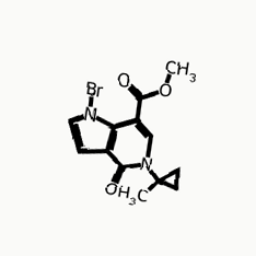 COC(=O)c1cn(C2(C)CC2)c(=O)c2ccn(Br)c12